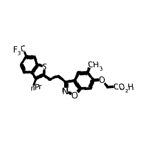 CCCc1c(CCc2noc3cc(OCC(=O)O)c(C)cc23)sc2cc(C(F)(F)F)ccc12